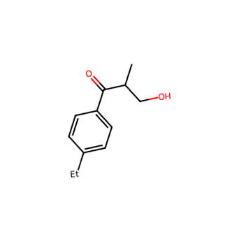 CCc1ccc(C(=O)C(C)CO)cc1